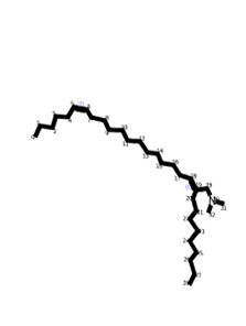 CCCCC/C=C\CCCCCCCCCCC/C=C(\CCCCCCCCC)CN(C)C